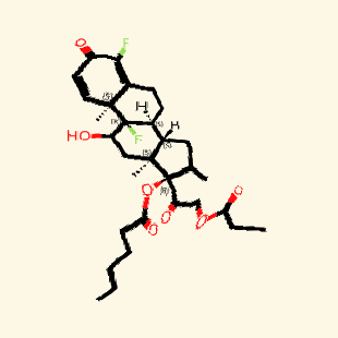 CCCCCC(=O)O[C@]1(C(=O)COC(=O)CC)C(C)C[C@H]2[C@@H]3CCC4=C(F)C(=O)C=C[C@]4(C)[C@@]3(F)C(O)C[C@@]21C